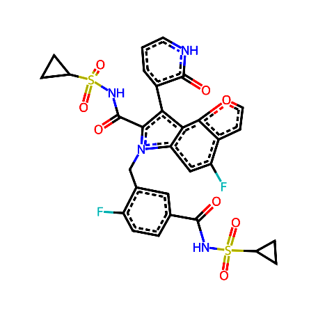 O=C(NS(=O)(=O)C1CC1)c1ccc(F)c(Cn2c(C(=O)NS(=O)(=O)C3CC3)c(-c3ccc[nH]c3=O)c3c4occc4c(F)cc32)c1